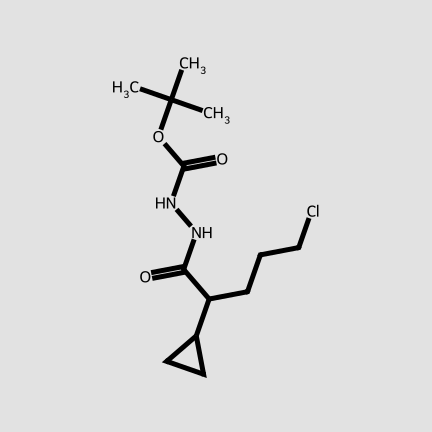 CC(C)(C)OC(=O)NNC(=O)C(CCCCl)C1CC1